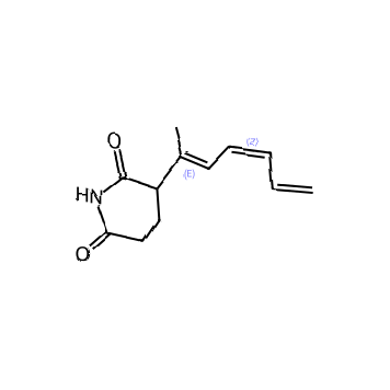 C=C/C=C\C=C(/C)C1CCC(=O)NC1=O